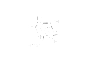 C[CH]=[Fe](#[N])(#[N])([CH2]C(=O)O)([CH2]C(=O)O)([CH2]C(=O)O)[CH2]C(=O)O.[NaH]